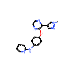 Cn1cc(-c2nccnc2Oc2ccc(Nc3ccccn3)cc2)cn1